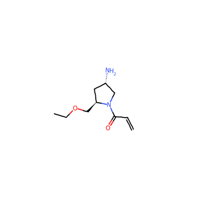 C=CC(=O)N1C[C@@H](N)C[C@@H]1COCC